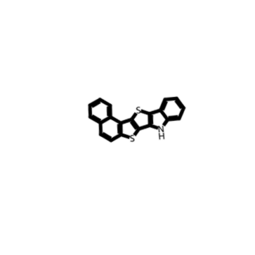 c1ccc2c(c1)ccc1sc3c4[nH]c5ccccc5c4sc3c12